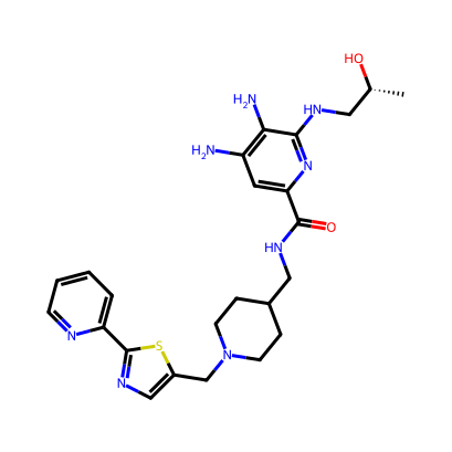 C[C@@H](O)CNc1nc(C(=O)NCC2CCN(Cc3cnc(-c4ccccn4)s3)CC2)cc(N)c1N